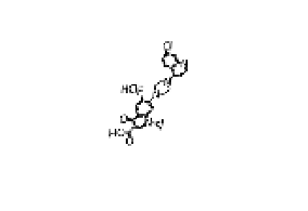 Cl.O=C(O)c1cn(C2CC2)c2cc(N3CCN(c4ccnc5cc(Cl)ccc45)CC3)c(F)cc2c1=O